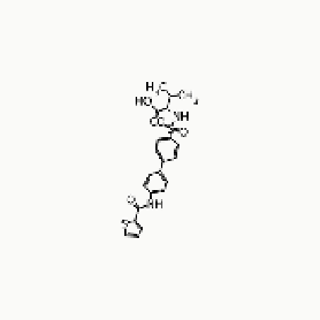 CC(C)[C@H](NS(=O)(=O)c1ccc(-c2ccc(NC(=O)c3cccs3)cc2)cc1)C(=O)O